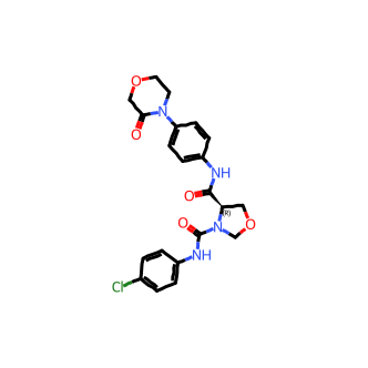 O=C(Nc1ccc(N2CCOCC2=O)cc1)[C@H]1COCN1C(=O)Nc1ccc(Cl)cc1